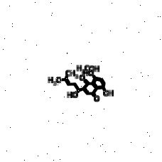 CC(C)=CCC(O)C1=CC(=O)c2c(O)ccc(O)c2C1=O.CO